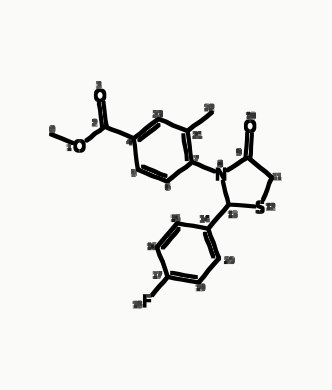 COC(=O)c1ccc(N2C(=O)CSC2c2ccc(F)cc2)c(C)c1